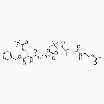 CC(=O)SCCNC(=O)CCNC(=O)[C@@H]1OP(=O)(OCOC(=O)N[C@@H](CSC(=O)C(C)(C)C)C(=O)OCc2ccccc2)OCC1(C)C